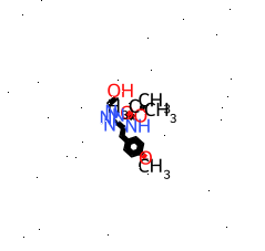 COc1ccc(CC(NC(=O)OC(C)(C)C)c2nnn(CCO)n2)cc1